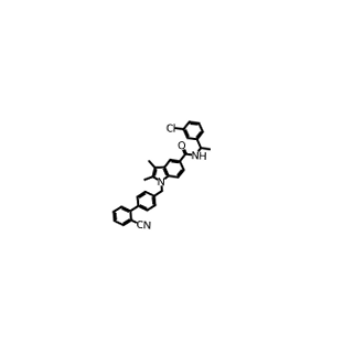 Cc1c(C)n(Cc2ccc(-c3ccccc3C#N)cc2)c2ccc(C(=O)NC(C)c3cccc(Cl)c3)cc12